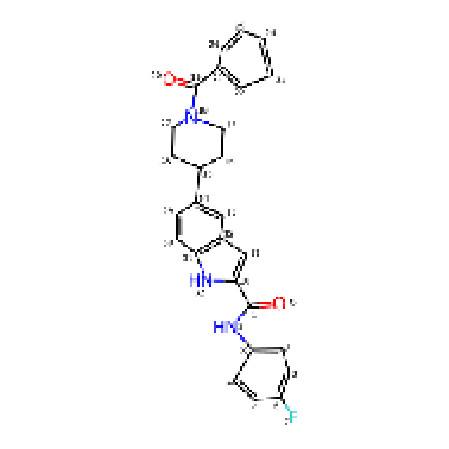 O=C(Nc1ccc(F)cc1)c1cc2cc(C3CCN(C(=O)c4ccccc4)CC3)ccc2[nH]1